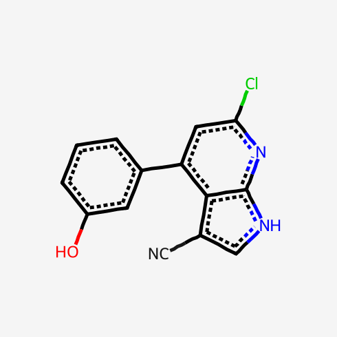 N#Cc1c[nH]c2nc(Cl)cc(-c3cccc(O)c3)c12